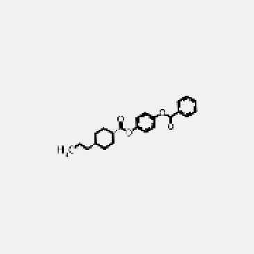 CCC[C@H]1CC[C@H](C(=O)Oc2ccc(OC(=O)c3ccccc3)cc2)CC1